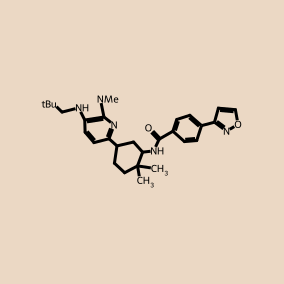 CNc1nc(C2CCC(C)(C)C(NC(=O)c3ccc(-c4ccon4)cc3)C2)ccc1NCC(C)(C)C